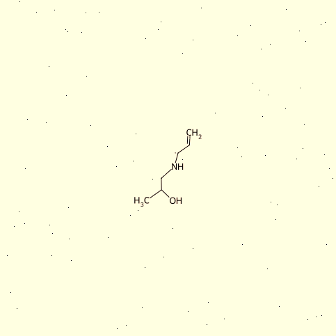 C=C[CH]NCC(C)O